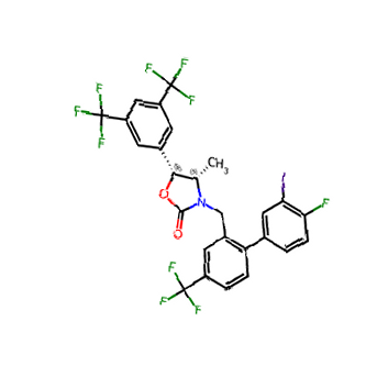 C[C@H]1[C@@H](c2cc(C(F)(F)F)cc(C(F)(F)F)c2)OC(=O)N1Cc1cc(C(F)(F)F)ccc1-c1ccc(F)c(I)c1